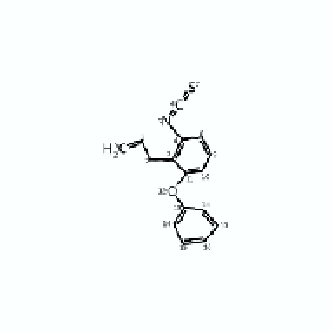 C=CCc1c(N=C=S)cccc1Oc1ccccc1